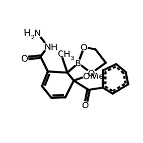 COC1(C(=O)c2ccccc2)C=CC=C(C(=O)NN)C1(C)B1OCCO1